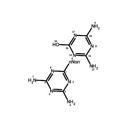 CCCCCCCCCc1nc(N)nc(N)n1.Nc1nc(N)nc(O)n1